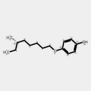 CC[C@H](C)CCCCCOc1ccc(O)cc1